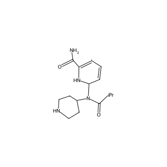 CC(C)C(=O)N(C1CCNCC1)C1C=C[C]=C(C(N)=O)N1